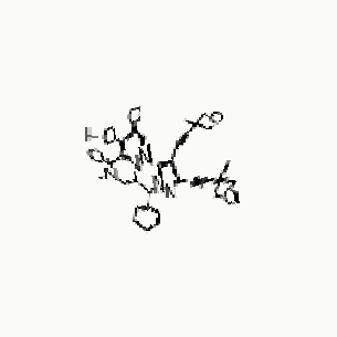 CN1CC(C(c2ccccc2)n2cc(C#CC3(C)COC3)c(C#CC3(C)COC3)n2)n2ncc(=O)c(O)c2C1=O